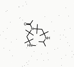 CNC(C)(C)CC(C)(C)N(C(C)=O)C(C)(C)CC(C)(C)NC(C)C